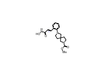 CC(C)(C)OC(=O)N1CCC2(CCN(c3ccccc3/C=C/C(=O)NO)C2)C1